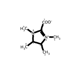 CC1C(C)[N+](C)=C(C(=O)[O-])N1C